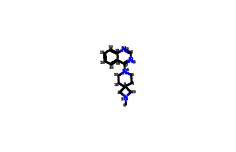 CN1CC2(CCN(c3ncnc4ccccc34)CC2)C1